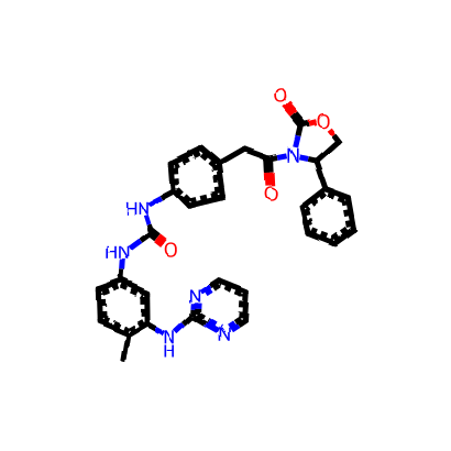 Cc1ccc(NC(=O)Nc2ccc(CC(=O)N3C(=O)OCC3c3ccccc3)cc2)cc1Nc1ncccn1